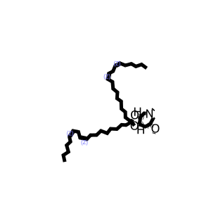 CCCCC/C=C\C/C=C\CCCCCCCCC1(CCCCCCCC/C=C\C/C=C\CCCCC)O[C@@H]2C[C@@H](OC)CN(C)C[C@H]2O1